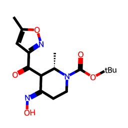 Cc1cc(C(=O)C2/C(=N/O)CCN(C(=O)OC(C)(C)C)[C@H]2C)no1